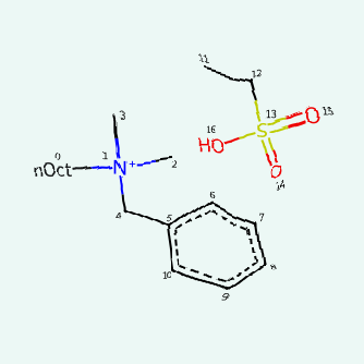 CCCCCCCC[N+](C)(C)Cc1ccccc1.CCS(=O)(=O)O